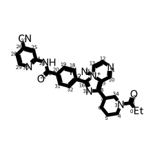 CCC(=O)N1CCCC(C2=C3C=NC=C[N+]3(N)C(c3ccc(C(=O)Nc4cc(C#N)ccn4)cc3)=N2)C1